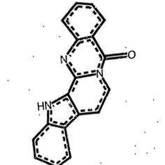 O=c1c2ccccc2nc2c3[nH]c4ccccc4c3ccn12